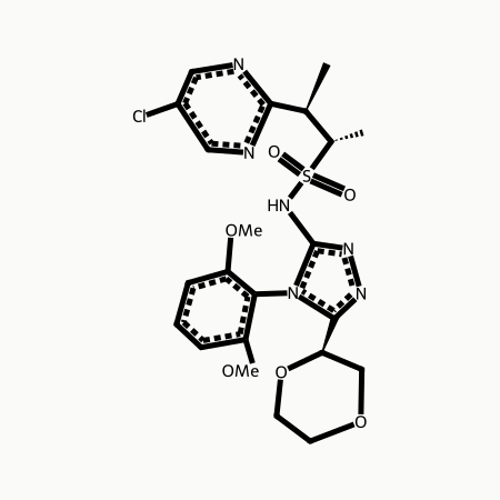 COc1cccc(OC)c1-n1c(NS(=O)(=O)[C@@H](C)[C@H](C)c2ncc(Cl)cn2)nnc1[C@H]1COCCO1